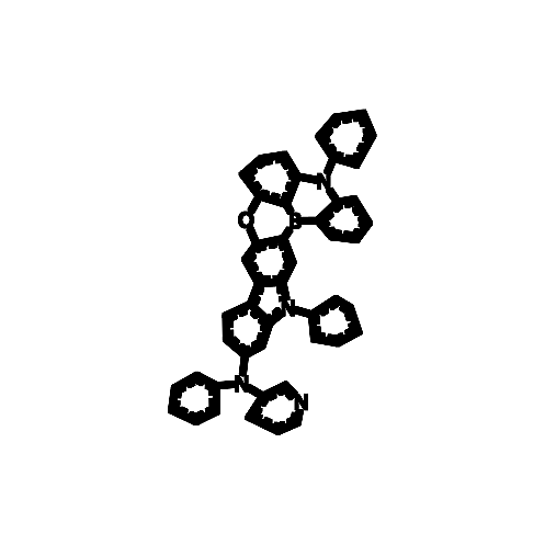 c1ccc(N(c2cccnc2)c2ccc3c4cc5c(cc4n(-c4ccccc4)c3c2)B2c3ccccc3N(c3ccccc3)c3cccc(c32)O5)cc1